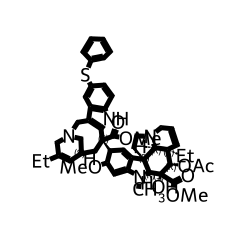 CCC1=C[C@H]2CN(C1)Cc1c([nH]c3ccc(Sc4ccccc4)cc13)[C@@](C(=O)OC)(C1C=C3C(=CC1OC)N(C)[C@H]1[C@@](O)(C(=O)OC)[C@H](OC(C)=O)[C@]4(CC)C=CCN5CC[C@]31[C@@H]54)C2